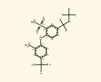 CC(C)(C)CC(C)(C)c1ccc(Oc2ccc(C(F)(F)F)cc2N)c(S(=O)(=O)O)c1